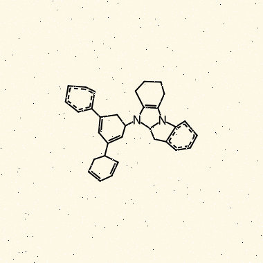 C1=CCC(C2=CC(N3C4=C(CCCC4)N4c5ccccc5CC43)CC(c3ccccc3)=C2)C=C1